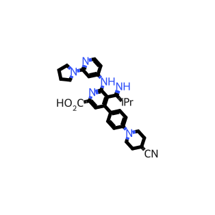 CC(C)C(=N)c1c(-c2ccc(N3CCC(C#N)CC3)cc2)cc(C(=O)O)nc1Nc1ccnc(N2CCCC2)c1